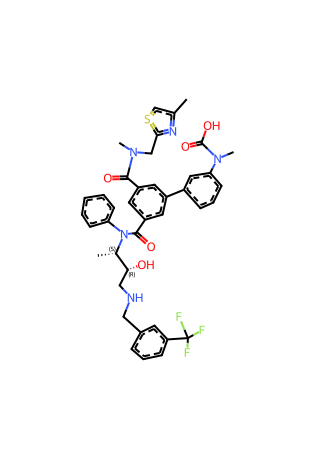 Cc1csc(CN(C)C(=O)c2cc(C(=O)N(c3ccccc3)[C@@H](C)[C@H](O)CNCc3cccc(C(F)(F)F)c3)cc(-c3cccc(N(C)C(=O)O)c3)c2)n1